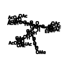 CCNC1C(OCCOCCNC(=O)C(CCC(=O)NCCOCCOC2OC(COC(C)=O)C(OC(C)=O)C(OC(C)=O)C2NC(C)=O)NC(=O)CCC(NC(=O)CCOCCOCCOCCOC)C(=O)NCCOCCOC2OC(COC(C)=O)C(OC(C)=O)C(OC(C)=O)C2NC(C)=O)OC(COC(C)=O)C(OC(C)=O)C1OC(C)=O